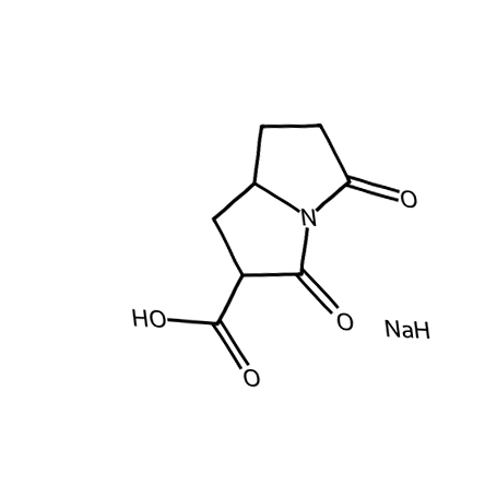 O=C(O)C1CC2CCC(=O)N2C1=O.[NaH]